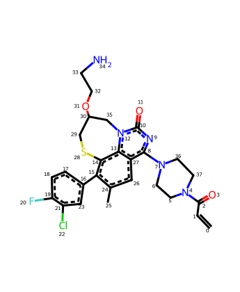 C=CC(=O)N1CCN(c2nc(=O)n3c4c(c(-c5ccc(F)c(Cl)c5)c(C)cc24)SCC(OCCN)C3)CC1